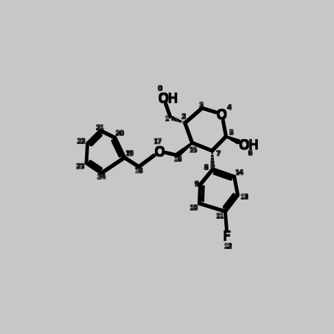 OC[C@@H]1CO[C@@H](O)[C@H](c2ccc(F)cc2)[C@H]1COCc1ccccc1